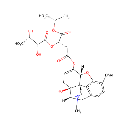 COc1ccc2c3c1O[C@H]1C(OC(=O)C[C@H](OC(=O)[C@H](O)[C@@H](O)C(=O)O)C(=O)O[C@@H](C)C(=O)O)=CC[C@@]4(O)[C@@H](C2)N(C)CC[C@]314